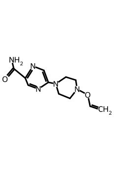 C=CON1CCN(c2cnc(C(N)=O)cn2)CC1